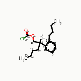 CCCCc1ccccc1C(C)(CCCC)COC(=O)Cl